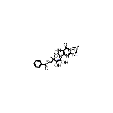 CO[C@@](C)(CSC(=O)c1ccccc1)/C(O)=C(/O)N1CNc2c1nc(/N=C\N(C)C)[nH]c2=O